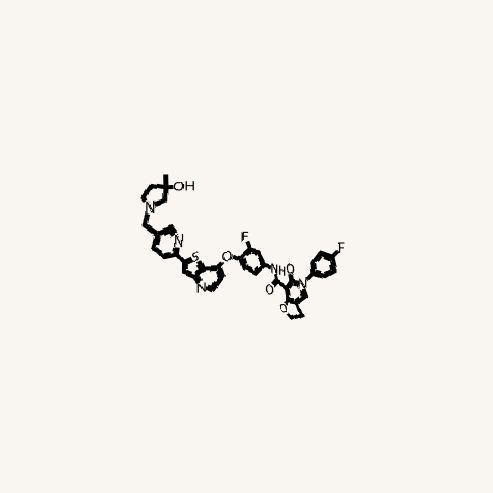 CC1(O)CCN(Cc2ccc(-c3cc4nccc(Oc5ccc(NC(=O)c6c7c(cn(-c8ccc(F)cc8)c6=O)CCO7)cc5F)c4s3)nc2)C1